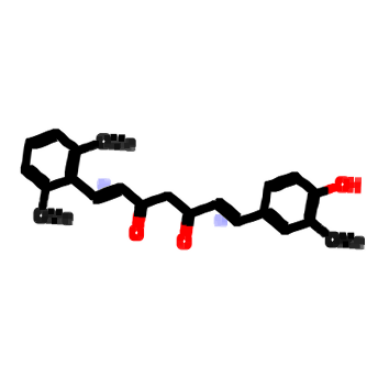 COc1cc(/C=C/C(=O)CC(=O)/C=C/c2c(OC)cccc2OC)ccc1O